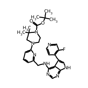 CC(C)(C)OC(=O)N1CCN(c2cccc(CNc3ncnc4[nH]cc(-c5ccncc5F)c34)n2)CC1(C)C